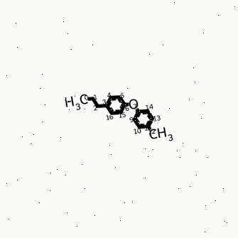 CCCc1ccc(Oc2ccc(C)cc2)cc1